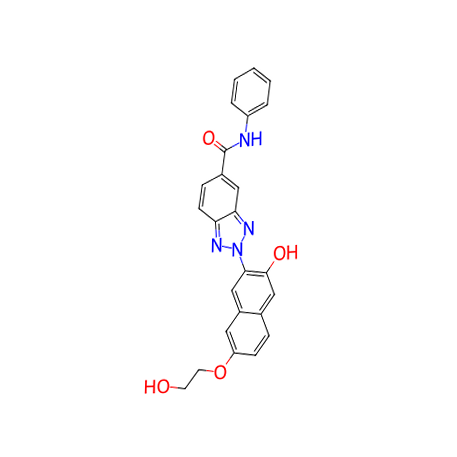 O=C(Nc1ccccc1)c1ccc2nn(-c3cc4cc(OCCO)ccc4cc3O)nc2c1